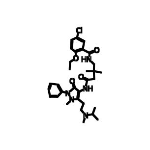 CCOc1ccc(Cl)cc1C(=O)NCC(C)(C)CC(=O)Nc1c(CCN(C)C(C)C)n(C)n(-c2ccccc2)c1=O